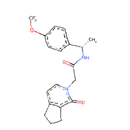 C[C@H](NC(=O)Cn1ccc2c(c1=O)CCC2)c1ccc(OC(F)(F)F)cc1